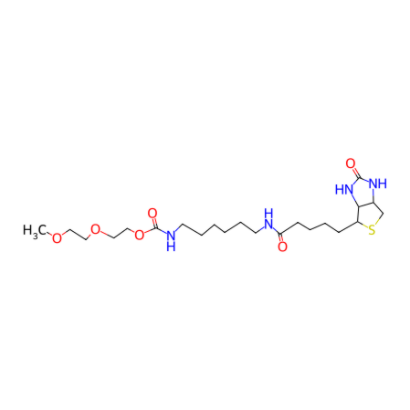 COCCOCCOC(=O)NCCCCCCNC(=O)CCCCC1SCC2NC(=O)NC21